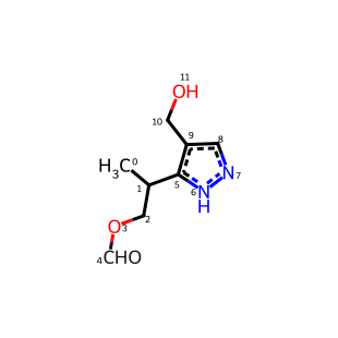 CC(COC=O)c1[nH]ncc1CO